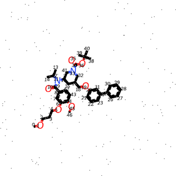 COCCCOc1cc(C(=O)N(C(C)C)C2CC(COc3cccc(-c4ccccc4)c3)CN(C(=O)OC(C)(C)C)C2)ccc1OC